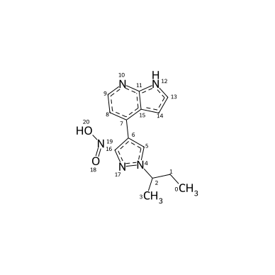 CCC(C)n1cc(-c2ccnc3[nH]ccc23)cn1.O=NO